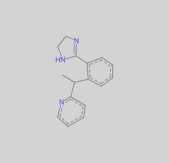 CC(c1ccccn1)c1ccccc1C1=NCCN1